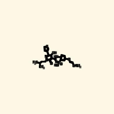 CC(CCn1nc(-c2ccsc2)c(O)c(C2=NP(=O)(O)c3cc(O/C=C/ON)ccc3N2)c1=O)C(F)(F)F